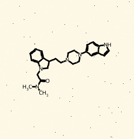 CN(C)C(=O)CN1CC(CCN2CCN(c3ccc4[nH]ccc4c3)CC2)c2ccccc21